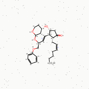 O=C(O)CCC/C=C\C[C@H]1C(=O)C[C@@H](O)[C@@H]1/C=C/[C@@H](COc1ccccc1)OC1CCCCO1